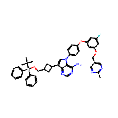 Cc1ncc(COc2cc(F)cc(Oc3ccc(-n4cc(C5CC(CO[Si](c6ccccc6)(c6ccccc6)C(C)(C)C)C5)c5ncnc(N)c54)cc3)c2)cn1